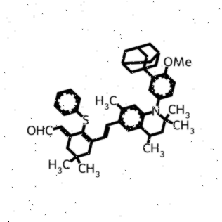 COc1ccc(N2c3cc(C)c(C=CC4=C(Sc5ccccc5)C(=CC=O)CC(C)(C)C4)cc3C(C)CC2(C)C)cc1C12CC3CC(CC(C3)C1)C2